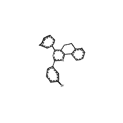 Brc1cccc(-c2nc(-c3ccccc3)c3c(n2)-c2ccccc2CC3)c1